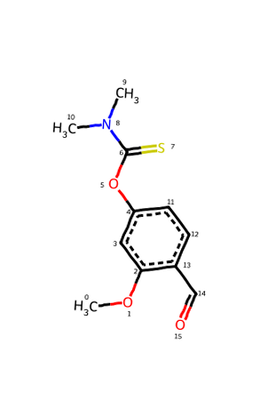 COc1cc(OC(=S)N(C)C)ccc1C=O